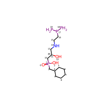 O=P(O)(CC1CCCCC1)C[C@H](O)CNCCP(P)P